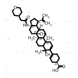 C=C(C)[C@@H]1CC[C@]2(NC(=O)CC3CCOCC3)CC[C@]3(C)[C@@H](CCC4[C@@]5(C)CC=C(C6=CC[C@H](C(=O)O)CC6)C(C)(C)C5CC[C@]43C)C12